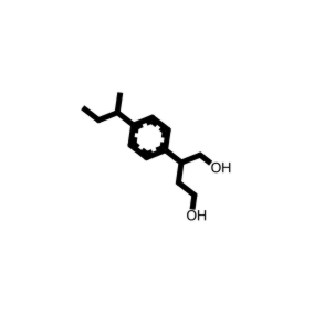 CCC(C)c1ccc(C(CO)CCO)cc1